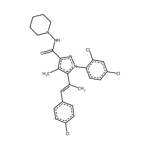 C/C(=C\c1ccc(Cl)cc1)c1c(C)c(C(=O)NN2CCCCC2)nn1-c1ccc(Cl)cc1Cl